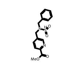 COC(=O)c1ccc(CN(Cc2ccccc2)[SH](=O)=O)cn1